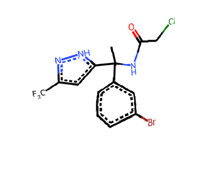 CC(NC(=O)CCl)(c1cccc(Br)c1)c1cc(C(F)(F)F)n[nH]1